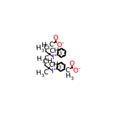 CC(=O)[O-].CC(=O)[O-].CCC(C)(C)[I+]c1ccccc1.CCC(C)(C)[I+]c1ccccc1